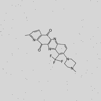 Cc1ccc2c(n1)C(=O)c1nc3c(C(F)(F)F)c(N4CCN(C)CC4)ccc3nc1C2=O